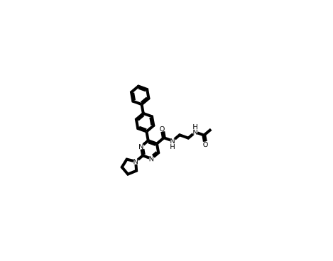 CC(=O)NCCNC(=O)c1cnc(N2CCCC2)nc1-c1ccc(-c2ccccc2)cc1